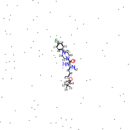 C=N/C(=C\C=C(/C)O[Si](C)(C)C(C)(C)C)NC(=O)N1CCN(c2ccc(F)cc2)CC1